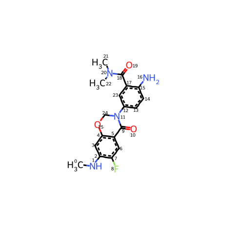 CNc1cc2c(cc1F)C(=O)N(c1ccc(N)c(C(=O)N(C)C)c1)CO2